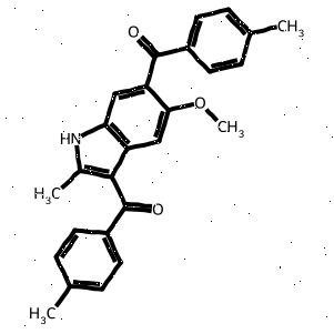 COc1cc2c(C(=O)c3ccc(C)cc3)c(C)[nH]c2cc1C(=O)c1ccc(C)cc1